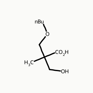 CCCCOCC(C)(CO)C(=O)O